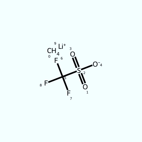 C.O=S(=O)([O-])C(F)(F)F.[Li+]